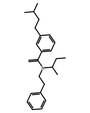 C=C(c1cccc(CCC(C)C)c1)N(CCc1ccccc1)C(C)CC